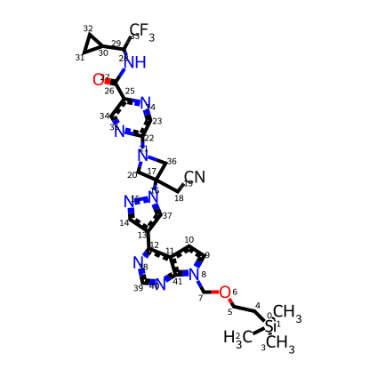 C[Si](C)(C)CCOCn1ccc2c(-c3cnn(C4(CC#N)CN(c5cnc(C(=O)NC(C6CC6)C(F)(F)F)cn5)C4)c3)ncnc21